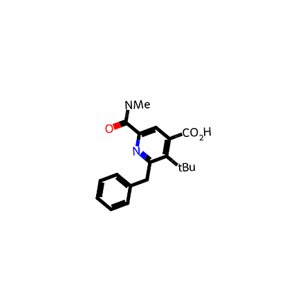 CNC(=O)c1cc(C(=O)O)c(C(C)(C)C)c(Cc2ccccc2)n1